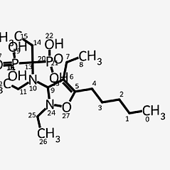 CCCCCC1=C(CC)C(N(CC)C(CC)(P(=O)(O)O)P(=O)(O)O)N(CC)O1